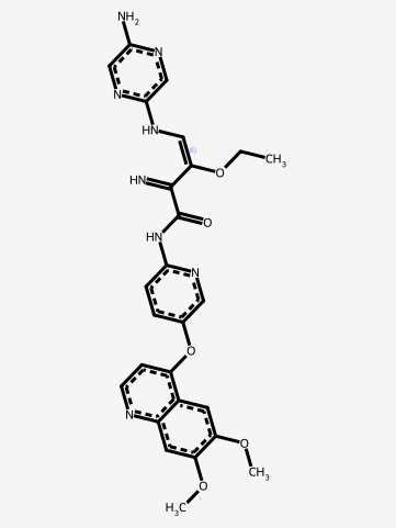 CCO/C(=C/Nc1cnc(N)cn1)C(=N)C(=O)Nc1ccc(Oc2ccnc3cc(OC)c(OC)cc23)cn1